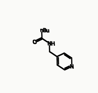 [CH2]CCCC(=O)NCc1ccncc1